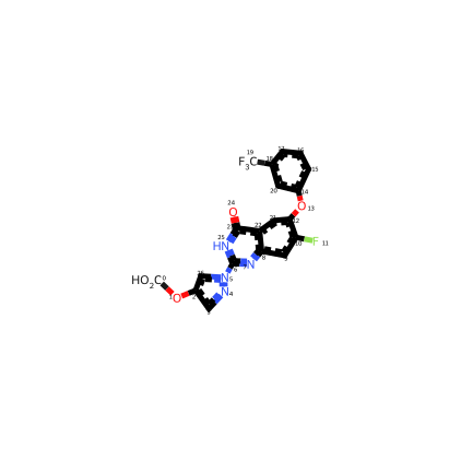 O=C(O)Oc1cnn(-c2nc3cc(F)c(Oc4cccc(C(F)(F)F)c4)cc3c(=O)[nH]2)c1